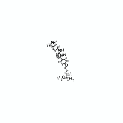 CC(C)NCCCOC1=CC=C(c2nnc(Nc3ccc4[nH]ncc4c3)[nH]2)CC1